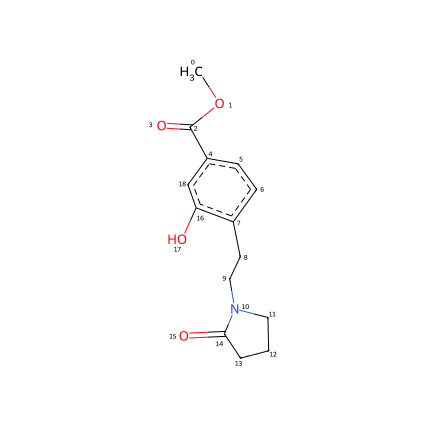 COC(=O)c1ccc(CCN2CCCC2=O)c(O)c1